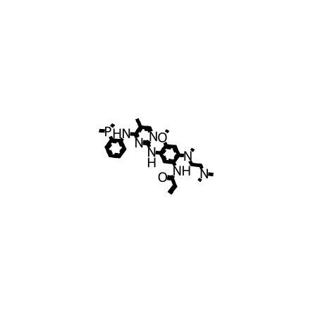 C=CC(=O)Nc1cc(Nc2ncc(C)c(Nc3ccccc3P(C)C)n2)c(OC)cc1N(C)CCN(C)C